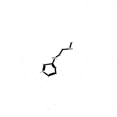 CNCCNc1cccnc1